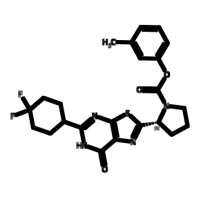 Cc1cccc(OC(=O)N2CCC[C@@H]2c2nc3c(=O)[nH]c(C4CCC(F)(F)CC4)nc3s2)c1